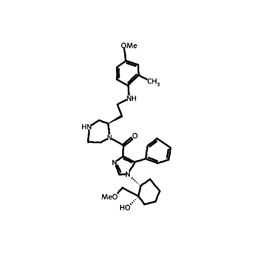 COC[C@]1(O)CCCC[C@H]1n1cnc(C(=O)N2CCNC[C@H]2CCNc2ccc(OC)cc2C)c1-c1ccccc1